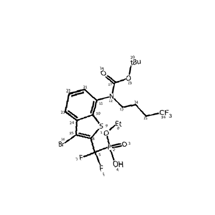 CCOP(=O)(O)C(F)(F)c1sc2c(N(CCCC(F)(F)F)C(=O)OC(C)(C)C)cccc2c1Br